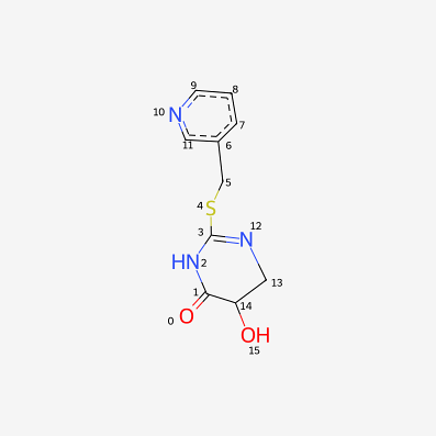 O=C1NC(SCc2cccnc2)=NCC1O